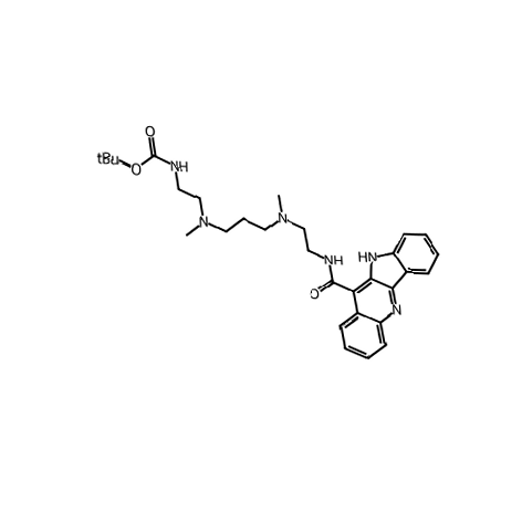 CN(CCCN(C)CCNC(=O)c1c2ccccc2nc2c1[nH]c1ccccc12)CCNC(=O)OC(C)(C)C